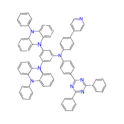 c1ccc(-c2nc(-c3ccccc3)nc(-c3ccc(N(c4ccc(-c5ccncc5)cc4)c4cc(N5c6ccccc6N(c6ccccc6)c6ccccc65)cc(N5c6ccccc6N(c6ccccc6)c6ccccc65)c4)cc3)n2)cc1